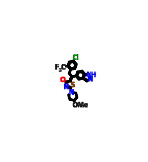 COC1CCN(C2=NC(=O)C(=C(Cc3ccc(Cl)cc3C(F)(F)F)c3ccc4[nH]ncc4c3)S2)CC1